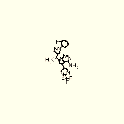 CC(c1cnn(-c2ccccc2F)c1)c1cc(-c2cnc(C(F)(F)F)nc2)c2c(N)ncnn12